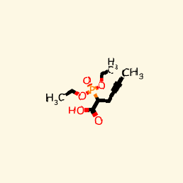 CC#CCC(C(=O)O)P(=O)(OCC)OCC